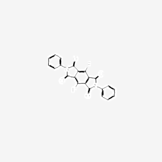 O=c1c2c(F)c3c(=O)n(-c4ccccc4)c(=O)c3c(F)c2c(=O)n1-c1ccccc1